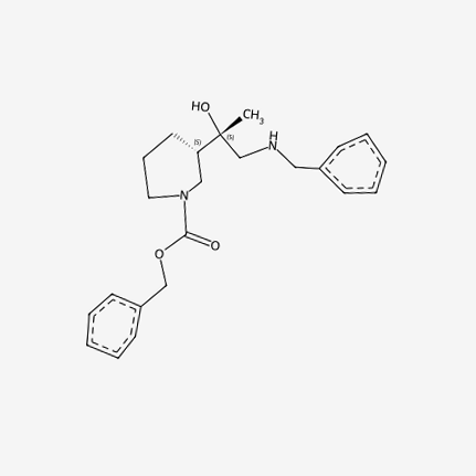 C[C@@](O)(CNCc1ccccc1)[C@H]1CCCN(C(=O)OCc2ccccc2)C1